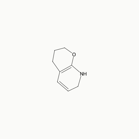 C1=CC2=C(NC1)OCCC2